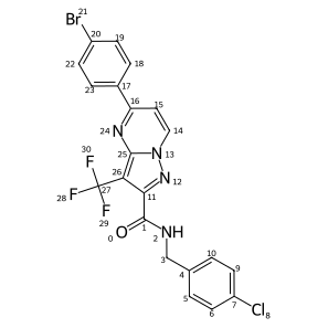 O=C(NCc1ccc(Cl)cc1)c1nn2ccc(-c3ccc(Br)cc3)nc2c1C(F)(F)F